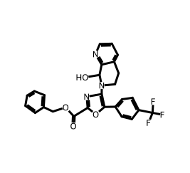 O=C(OCc1ccccc1)c1nc(N2CCc3cccnc3C2O)c(-c2ccc(C(F)(F)F)cc2)o1